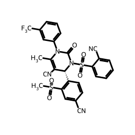 [C-]#[N+]C1=C(C)N(c2cccc(C(F)(F)F)c2)C(=O)N(S(=O)(=O)c2ccccc2C#N)[C@@H]1c1ccc(C#N)cc1S(C)(=O)=O